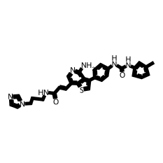 Cc1cccc(NC(=O)Nc2ccc(-c3csc4c(C=CC(=O)NCCCn5ccnc5)cnc(N)c34)cc2)c1